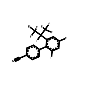 N#Cc1ccc(-c2c(F)[c]c(F)cc2C(F)(C(F)(F)F)C(F)(F)F)cc1